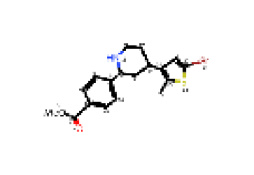 COC(=O)c1ccc([C@@H]2CC(c3cc(Br)sc3C)CCN2)cc1